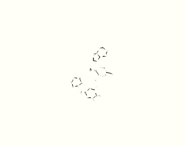 Nc1cccc(COC(=O)C2=C(COc3ccccc3Cl)NC(=O)NC2c2c[nH]c3ncccc23)c1